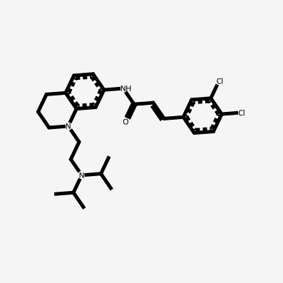 CC(C)N(CCN1CCCc2ccc(NC(=O)C=Cc3ccc(Cl)c(Cl)c3)cc21)C(C)C